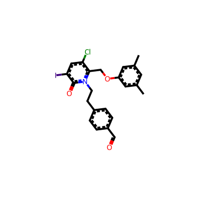 Cc1cc(C)cc(OCc2c(Cl)cc(I)c(=O)n2CCc2ccc(C=O)cc2)c1